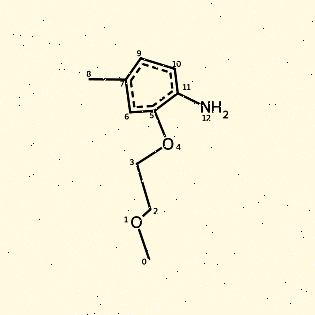 COCCOc1cc(C)ccc1N